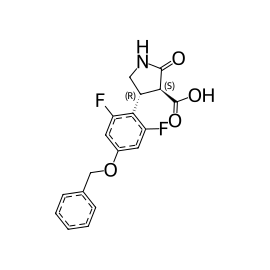 O=C(O)[C@@H]1C(=O)NC[C@H]1c1c(F)cc(OCc2ccccc2)cc1F